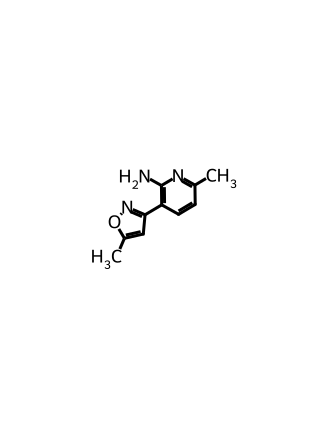 Cc1ccc(-c2cc(C)on2)c(N)n1